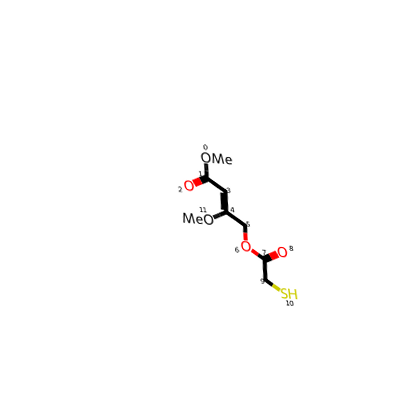 COC(=O)/C=C(/COC(=O)CS)OC